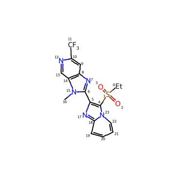 CCS(=O)(=O)c1c(-c2nc3cc(C(F)(F)F)ncc3n2C)nc2ccccn12